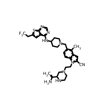 C=C(N)C1CN(CCn2c(C#N)cc3c(C)c(CN4CCC(Nc5ncnc6sc(CC(F)(F)F)cc56)CC4)ccc32)CCN1